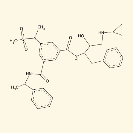 CC(NC(=O)c1cc(C(=O)NC(Cc2ccccc2)C(O)CNC2CC2)cc(N(C)S(C)(=O)=O)c1)c1ccccc1